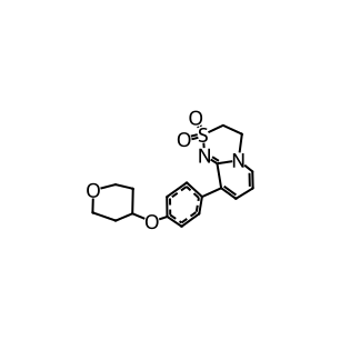 O=S1(=O)CCN2C=CC=C(c3ccc(OC4CCOCC4)cc3)C2=N1